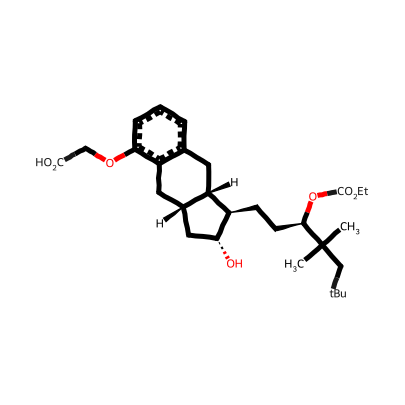 CCOC(=O)O[C@H](CC[C@@H]1[C@H]2Cc3cccc(OCC(=O)O)c3C[C@H]2C[C@H]1O)C(C)(C)CC(C)(C)C